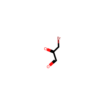 O=CC(=O)CBr